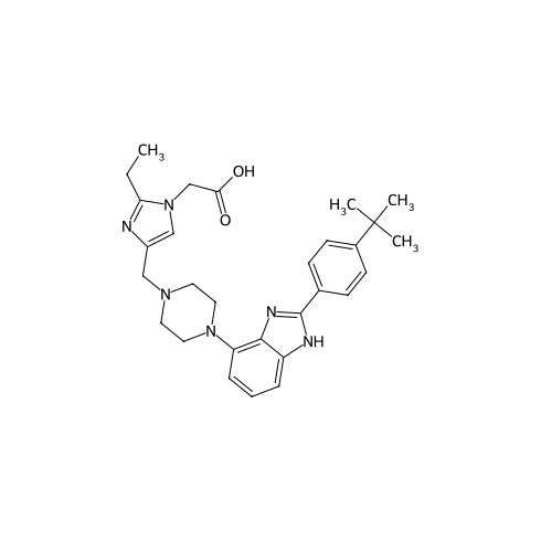 CCc1nc(CN2CCN(c3cccc4[nH]c(-c5ccc(C(C)(C)C)cc5)nc34)CC2)cn1CC(=O)O